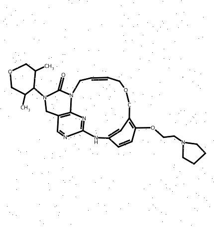 CC1COCC(C)C1N1Cc2cnc3nc2N(C/C=C\COCc2cc(ccc2OCCN2CCCC2)N3)C1=O